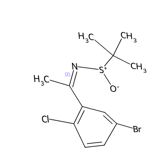 C/C(=N/[S+]([O-])C(C)(C)C)c1cc(Br)ccc1Cl